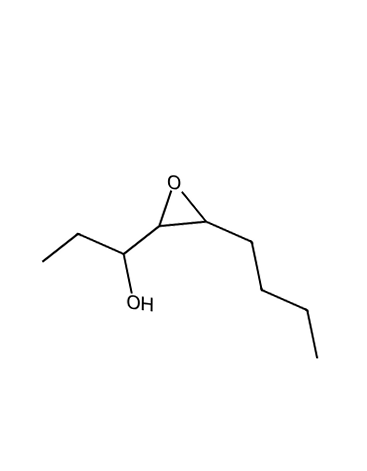 CCCCC1OC1C(O)CC